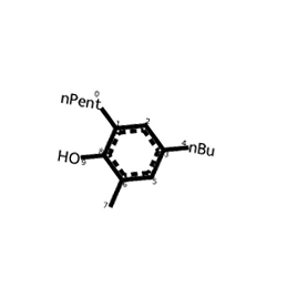 CCCCCc1cc(CCCC)cc(C)c1O